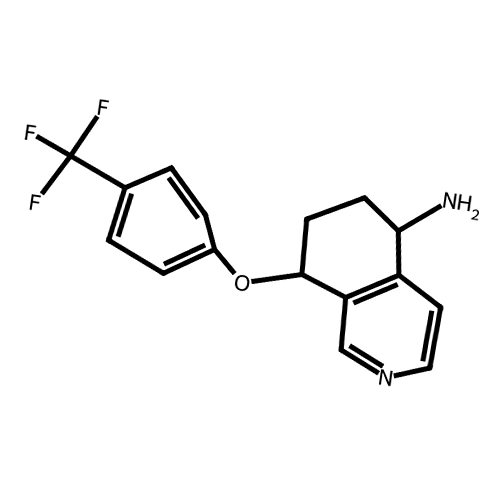 NC1CCC(Oc2ccc(C(F)(F)F)cc2)c2cnccc21